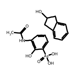 CC(=O)Nc1cccc([As](=O)(O)O)c1O.OC1Cc2ccccc2C1